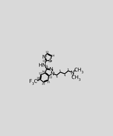 CN(C)CCCCn1nc(Nc2nccs2)c2cc(C(F)(F)F)ccc21